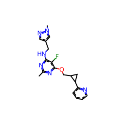 Cc1nc(NCc2cnn(C)c2)c(F)c(OCC2CC2c2ccccn2)n1